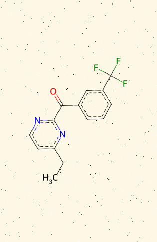 CCc1ccnc(C(=O)c2cccc(C(F)(F)F)c2)n1